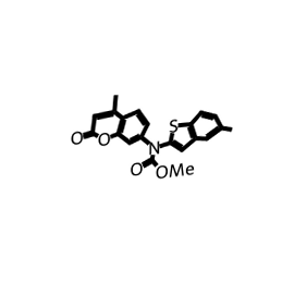 COC(=O)N(c1ccc2c(C)cc(=O)oc2c1)c1cc2cc(C)ccc2s1